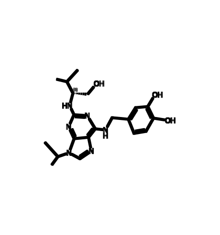 CC(C)[C@H](CO)Nc1nc(NCc2ccc(O)c(O)c2)c2ncn(C(C)C)c2n1